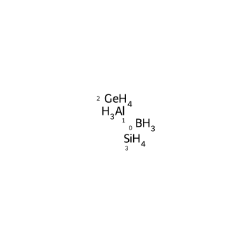 B.[AlH3].[GeH4].[SiH4]